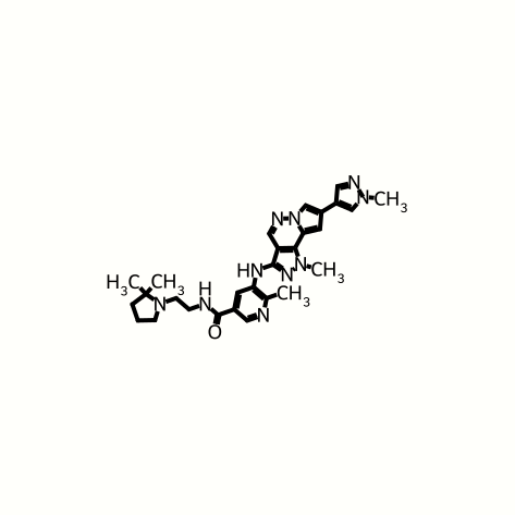 Cc1ncc(C(=O)NCCN2CCCC2(C)C)cc1Nc1nn(C)c2c1cnn1cc(-c3cnn(C)c3)cc21